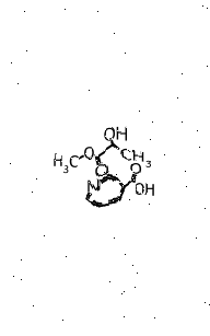 COC(=O)C(C)O.O=C(O)c1cccnc1